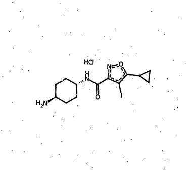 Cl.N[C@H]1CC[C@H](NC(=O)c2noc(C3CC3)c2I)CC1